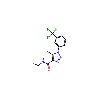 CCNC(=O)c1nnn(-c2cccc(C(F)(F)F)c2)c1C